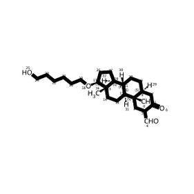 C[C@]12CC(C=O)C(=O)C[C@@H]1CC[C@@H]1[C@@H]2CC[C@]2(C)[C@@H](OCCCCCCO)CC[C@@H]12